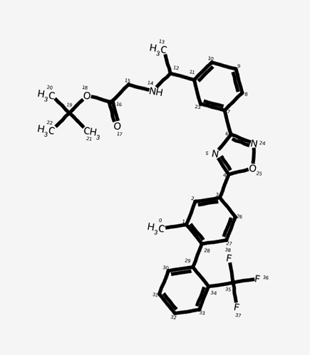 Cc1cc(-c2nc(-c3cccc(C(C)NCC(=O)OC(C)(C)C)c3)no2)ccc1-c1ccccc1C(F)(F)F